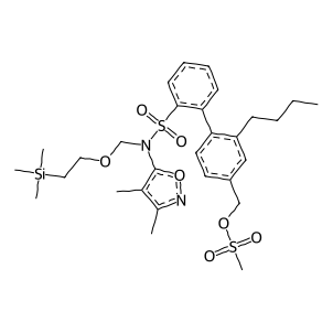 CCCCc1cc(COS(C)(=O)=O)ccc1-c1ccccc1S(=O)(=O)N(COCC[Si](C)(C)C)c1onc(C)c1C